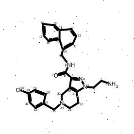 NCCn1nc(C(=O)NCc2cccc3ccccc23)c2c1CCN(Cc1ccc(Cl)cc1)C2